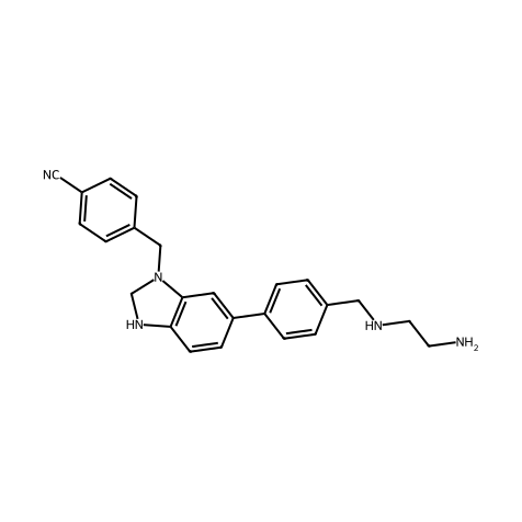 N#Cc1ccc(CN2CNc3ccc(-c4ccc(CNCCN)cc4)cc32)cc1